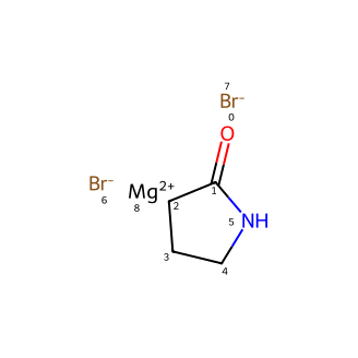 O=C1CCCN1.[Br-].[Br-].[Mg+2]